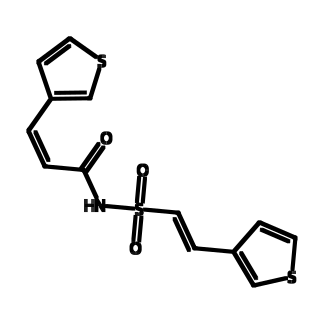 O=C(/C=C\c1ccsc1)NS(=O)(=O)/C=C/c1ccsc1